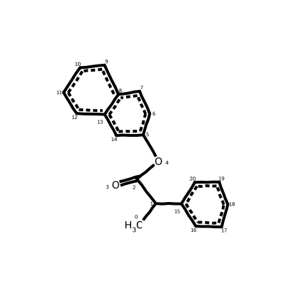 CC(C(=O)Oc1ccc2ccccc2c1)c1ccccc1